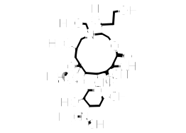 CCN1C[C@H](C)C[C@@](C)(OC)[C@H](O[C@@H]2O[C@H](C)C[C@H](N(C)C)[C@H]2O)[C@@H](C)C(=O)C(C)(C)C(=O)OC[C@H]1C(O)CCO